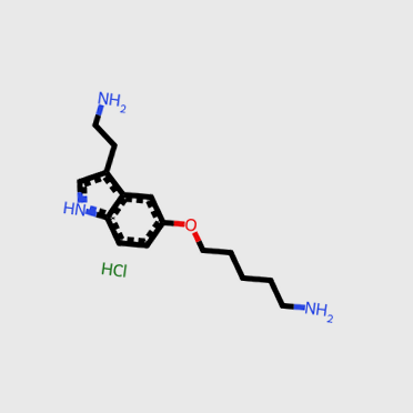 Cl.NCCCCCOc1ccc2[nH]cc(CCN)c2c1